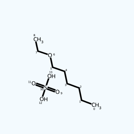 CCCCCCOCC.O=S(=O)(O)O